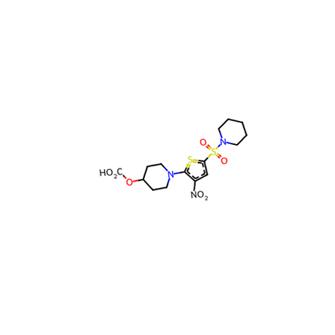 O=C(O)OC1CCN(c2sc(S(=O)(=O)N3CCCCC3)cc2[N+](=O)[O-])CC1